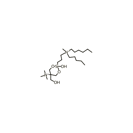 CCCCCC[N+](C)(CCCCC)CCC[Si]1(O)OCC(CO)([N+](C)(C)C)CO1